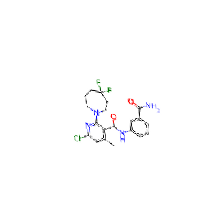 Cc1cc(Cl)nc(N2CCCC(F)(F)CC2)c1C(=O)Nc1cccc(C(N)=O)c1